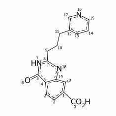 O=C(O)c1ccc2c(=O)[nH]c(CCCc3cccnc3)nc2c1